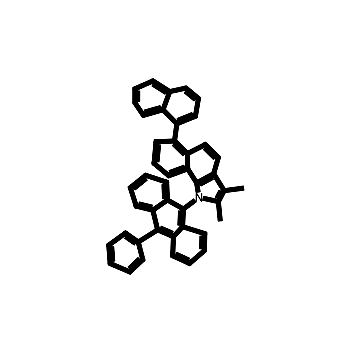 Cc1c(C)n(-c2c3ccccc3c(-c3ccccc3)c3ccccc23)c2c1ccc1c(-c3cccc4ccccc34)cccc12